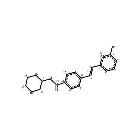 Cc1cccc(/C=C/c2ccc(NCC3CCCCC3)cc2)n1